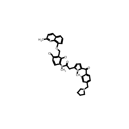 Cc1ccc2cccc(OCc3c(Cl)ccc(N(C)C(=O)Cc4ccc(C(=O)c5ccc(CN6CCCC6)cc5)n4C)c3Cl)c2n1